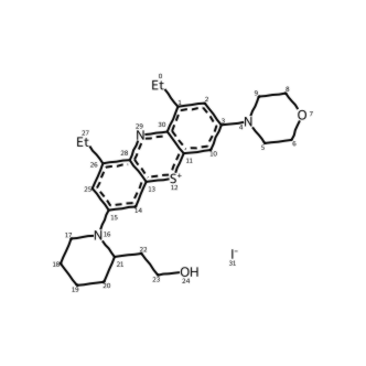 CCc1cc(N2CCOCC2)cc2[s+]c3cc(N4CCCCC4CCO)cc(CC)c3nc12.[I-]